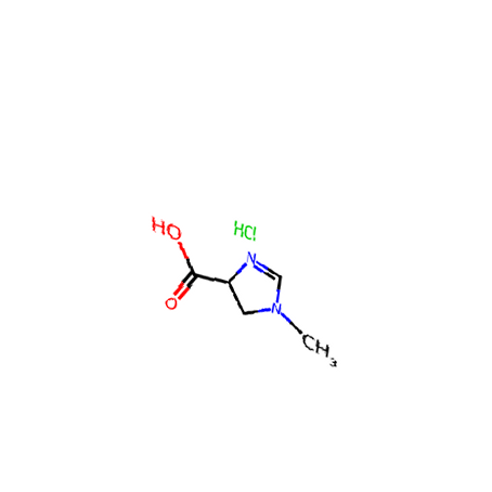 CN1C=NC(C(=O)O)C1.Cl